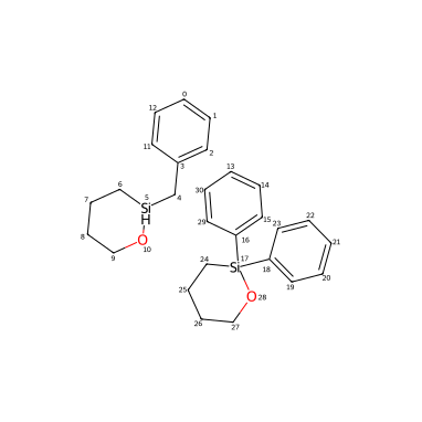 c1ccc(C[SiH]2CCCCO2)cc1.c1ccc([Si]2(c3ccccc3)CCCCO2)cc1